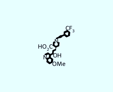 COc1ccc2nccc([C@H](O)CC[C@@H]3CCN(CC#Cc4cccc(C(F)(F)F)c4)C[C@@H]3C(=O)O)c2c1